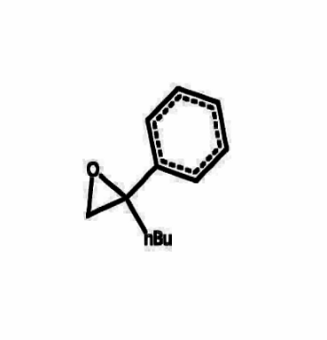 CCCCC1(c2ccccc2)CO1